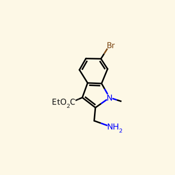 CCOC(=O)c1c(CN)n(C)c2cc(Br)ccc12